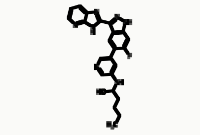 CCCCC(O)Nc1cncc(-c2cc3c(-c4nc5cccnc5[nH]4)n[nH]c3cc2F)c1